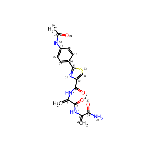 C=C(NC(=O)C(=C)NC(=O)c1csc(-c2ccc(NC(C)=O)cc2)n1)C(N)=O